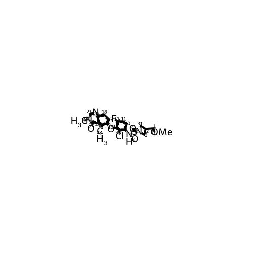 COCC1CN(S(=O)(=O)Nc2ccc(F)c(Oc3ccc4ncn(C)c(=O)c4c3C)c2Cl)C1